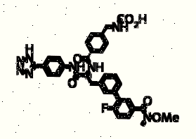 CON(C)C(=O)c1ccc(F)c(-c2cccc(C[C@H](NC(=O)[C@H]3CC[C@H](CNC(=O)O)CC3)C(=O)Nc3ccc(-c4nnn[nH]4)cc3)c2)c1